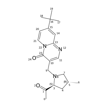 CC(=O)[C@@H]1C[C@@H](C)CN1Cc1cnc2cc(C(C)(C)C)ccn2c1=O